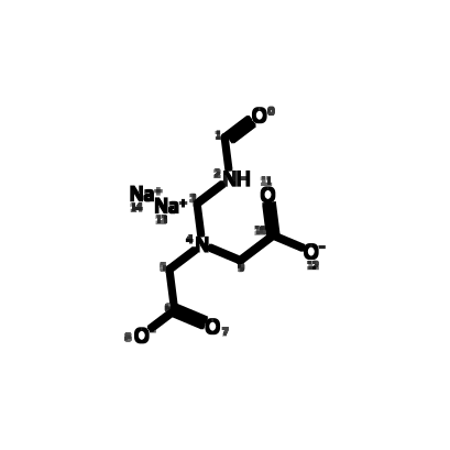 O=CNCN(CC(=O)[O-])CC(=O)[O-].[Na+].[Na+]